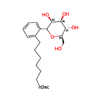 CCCCCCCCCCCCCCCCc1ccccc1[C]1O[C@H](CO)[C@@H](O)[C@H](O)[C@@H]1O